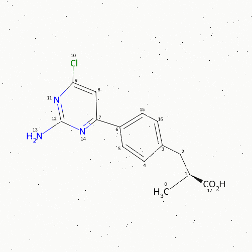 C[C@@H](Cc1ccc(-c2cc(Cl)nc(N)n2)cc1)C(=O)O